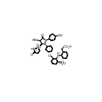 CCCCC1C(=O)N(c2ccccc2)N(c2ccc(O)cc2)C1=O.O.O=C(O)Cc1ccccc1Nc1c(Cl)cccc1Cl.O=c1cc[nH][nH]1